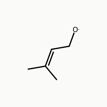 CC(C)=CC[O]